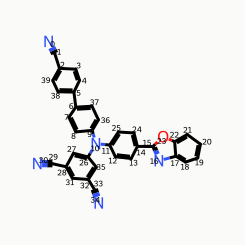 N#Cc1ccc(-c2ccc(N(c3ccc(-c4nc5ccccc5o4)cc3)c3cc(C#N)cc(C#N)c3)cc2)cc1